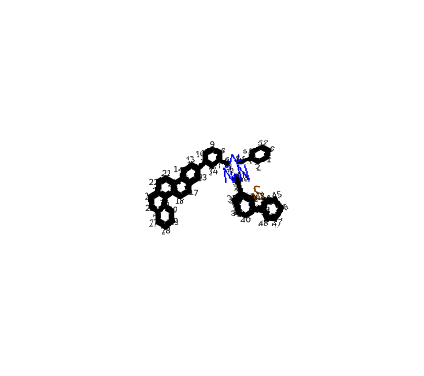 c1ccc(-c2nc(-c3cccc(-c4ccc5c(ccc6c5ccc5ccc7ccccc7c56)c4)c3)nc(-c3cccc4c3sc3ccccc34)n2)cc1